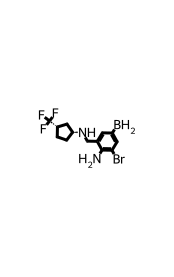 Bc1cc(Br)c(N)c(CN[C@@H]2CC[C@H](C(F)(F)F)C2)c1